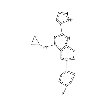 Fc1ccc(-c2ccc3nc(-c4ccn[nH]4)nc(NC4CC4)c3c2)cc1